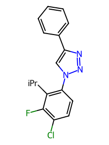 CC(C)c1c(-n2cc(-c3ccccc3)nn2)ccc(Cl)c1F